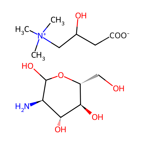 C[N+](C)(C)CC(O)CC(=O)[O-].N[C@H]1C(O)O[C@H](CO)[C@@H](O)[C@@H]1O